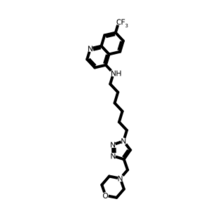 FC(F)(F)c1ccc2c(NCCCCCCn3cc(CN4CCOCC4)nn3)ccnc2c1